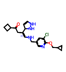 O=C(C/C(=C/NCc1cnc(OCC2CC2)c(Cl)c1)C1C=CNN1)C1CCC1